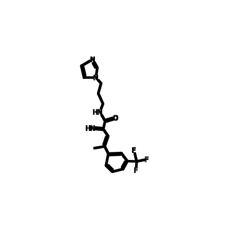 C/C(=C\C(=N)C(=O)NCCCn1ccnc1)c1cccc(C(F)(F)F)c1